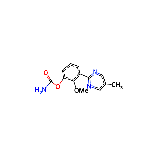 COc1c(OC(N)=O)cccc1-c1ncc(C)cn1